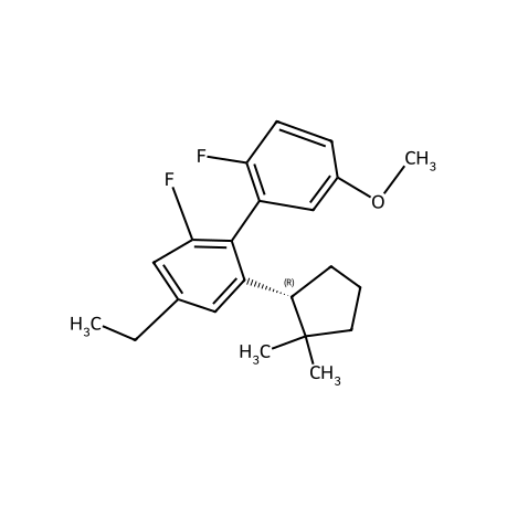 CCc1cc(F)c(-c2cc(OC)ccc2F)c([C@@H]2CCCC2(C)C)c1